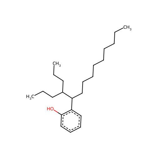 CCCCCCCCCC(c1ccccc1O)C(CCC)CCC